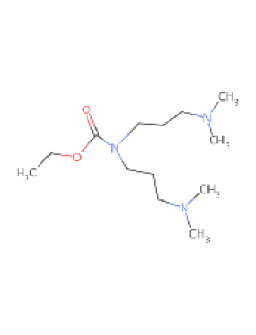 CCOC(=O)N(CCCN(C)C)CCCN(C)C